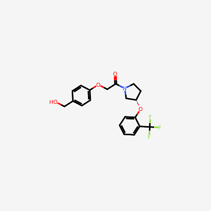 O=C(COc1ccc(CO)cc1)N1CC[C@H](Oc2ccccc2C(F)(F)F)C1